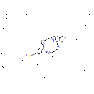 Cc1cc(C)c(-c2c3nc(cc4ccc([nH]4)c(-c4ccc(C#CSI)cc4)c4nc(cc5ccc2[nH]5)C=C4)C=C3)c(C)c1